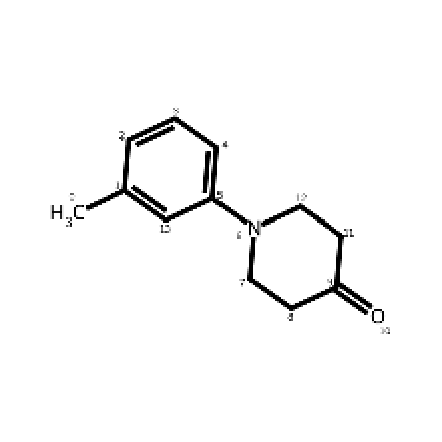 Cc1[c]ccc(N2CCC(=O)CC2)c1